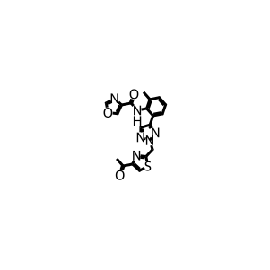 CC(=O)c1csc(Cn2ncc(-c3cccc(C)c3NC(=O)c3cocn3)n2)n1